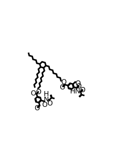 C=C(C)C(=O)NC(=O)c1ccc(C(=O)OCCCCCCCCC2CCC(CCCCCC)C(CCCCCCCC)C2CCCCCCCCOC(=O)c2ccc(C=O)c(C(=O)NC(=O)C(=C)C)c2)cc1C=O